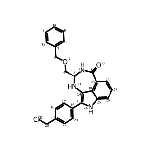 O=C1N[C@H](COCc2ccccc2)Nc2c(-c3ccc(CCl)cc3)[nH]c3cccc1c23